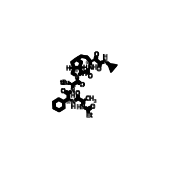 CCC(=O)N[C@H](C)C(=O)N[C@H](C(=O)N[C@H](C(=O)N1C[C@@H]2CC3CC[C@@H](C(=O)C(=O)NC4CC4)NC(=O)[C@@H]1[C@H]2C3)C(C)(C)C)C1CCCCC1